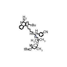 CCCCc1nc2c(N)nc3ccccc3c2n1CCCCN/C(=N/CC(C)(C)COCC(C)(C)CC(=O)OC(C)(C)C)Nc1cccc(C#N)c1